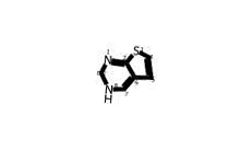 [C]1N=c2sccc2=CN1